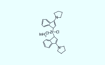 [Cl][Zr]([Cl])([CH]1C=C(N2CCCC2)c2ccccc21)[CH]1C=C(N2CCCC2)c2ccccc21.[InH3]